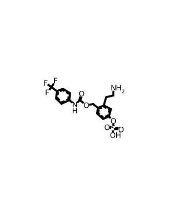 NCCc1cc(OS(=O)(=O)O)ccc1COC(=O)Nc1ccc(C(F)(F)F)cc1